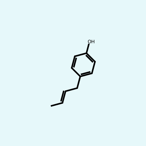 CC=CCc1ccc(O)cc1